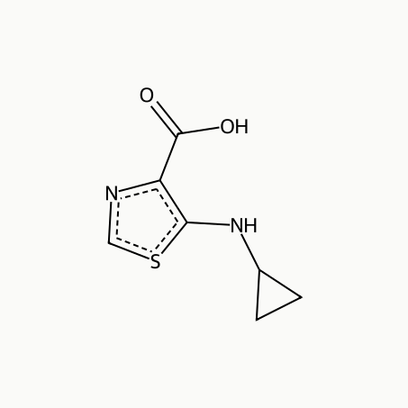 O=C(O)c1ncsc1NC1CC1